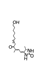 C/C(=C\C=C1\NC(=O)NC1C)C(=O)CSCCCCCCO